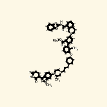 Cc1c(O[C@H]2CC[C@H](CCCN3CCN(c4ccc5c(C6CCC(=O)NC6=O)nn(C)c5c4)[C@@H](C(F)(F)F)C3)CC2)cccc1-c1ccc(N2CCc3cccc(C(=O)Nc4nc5ccccc5s4)c3C2)nc1C(=O)OC(C)(C)C